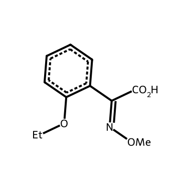 CCOc1ccccc1C(=NOC)C(=O)O